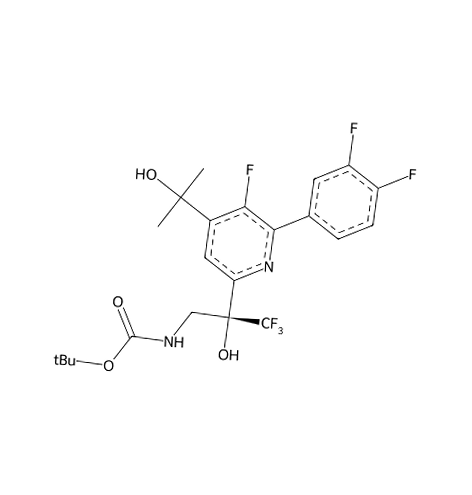 CC(C)(C)OC(=O)NC[C@@](O)(c1cc(C(C)(C)O)c(F)c(-c2ccc(F)c(F)c2)n1)C(F)(F)F